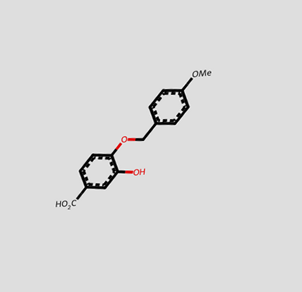 COc1ccc(COc2ccc(C(=O)O)cc2O)cc1